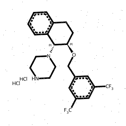 Cl.Cl.FC(F)(F)c1cc(CO[C@@H]2CCc3ccccc3[C@H]2N2CCNCC2)cc(C(F)(F)F)c1